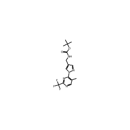 Cc1cnc(C(F)(F)F)nc1-n1cc(CNC(=O)OC(C)(C)C)cn1